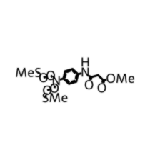 COC(=O)CC(=O)Nc1ccc(N(OOSC)OOSC)cc1